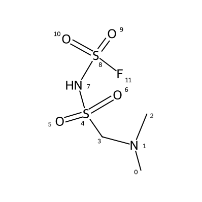 CN(C)CS(=O)(=O)NS(=O)(=O)F